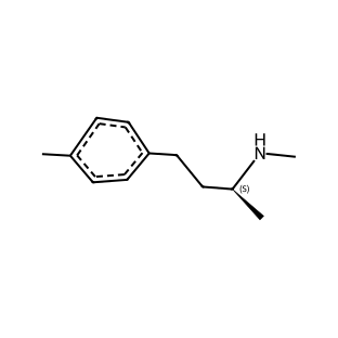 CN[C@@H](C)CCc1ccc(C)cc1